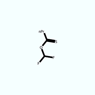 CCCC(=S)OC(F)F